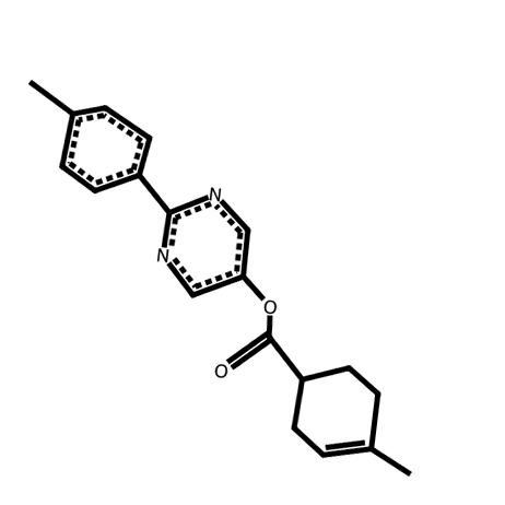 CC1=CCC(C(=O)Oc2cnc(-c3ccc(C)cc3)nc2)CC1